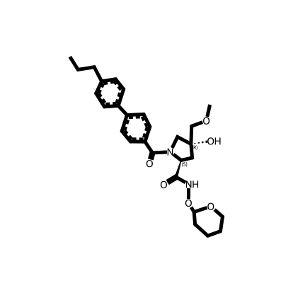 CCCc1ccc(-c2ccc(C(=O)N3C[C@@](O)(COC)C[C@H]3C(=O)NOC3CCCCO3)cc2)cc1